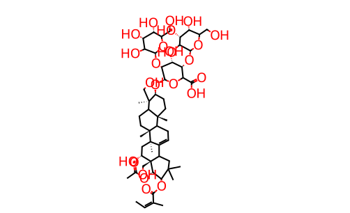 C/C=C(/C)C(=O)O[C@H]1[C@H](OC(C)=O)[C@@]2(CO)C(CC1(C)C)C1=CCC3[C@@]4(C)CC[C@H](O[C@@H]5OC(C(=O)O)[C@@H](O[C@@H]6OC(CO)[C@@H](O)[C@@H](O)C6O)[C@@H](O)C5O[C@@H]5OC(CO)[C@@H](O)[C@@H](O)C5O)[C@](C)(CO)C4CC[C@@]3(C)[C@]1(C)C[C@H]2O